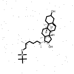 C[C@H](CCC[C@@H](C)[C@H]1[C@@H](O)C[C@H]2[C@@H]3CC=C4CC(O)CC[C@]4(C)[C@H]3CC[C@]12C)CO[Si](C)(C)C(C)(C)C